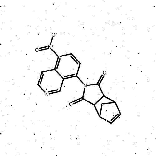 O=C1C2C3C=CC(C3)C2C(=O)N1c1ccc([N+](=O)[O-])c2ccncc12